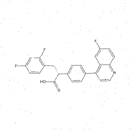 O=C(O)[C@H](Cc1ccc(F)cc1F)c1ccc(-c2ccnc3ccc(F)cc23)cc1